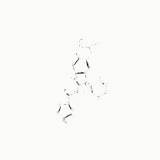 CC(N(Cc1ccc2c(c1)nc(NC(=O)c1ccc(Cl)cc1)n2C1CCCNC1)C(=O)O)C(C)(C)C